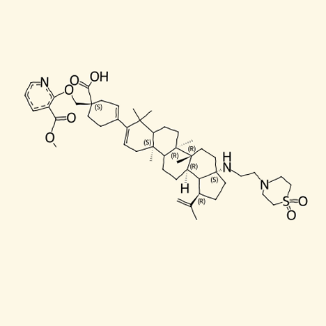 C=C(C)[C@@H]1CC[C@]2(NCCN3CCS(=O)(=O)CC3)CC[C@]3(C)[C@H](CCC4[C@@]5(C)CC=C(C6=CC[C@@](COc7ncccc7C(=O)OC)(C(=O)O)CC6)C(C)(C)C5CC[C@]43C)C12